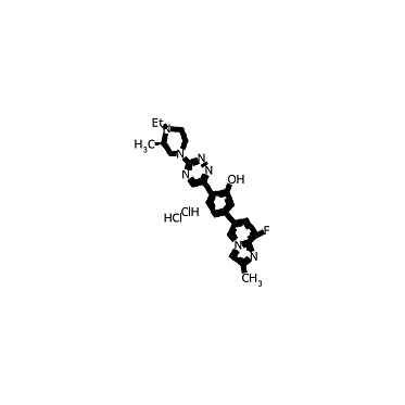 CCN1CCN(c2ncc(-c3ccc(-c4cc(F)c5nc(C)cn5c4)cc3O)nn2)C[C@H]1C.Cl.Cl